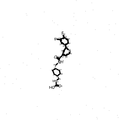 O=C(O)NC[C@H]1CC[C@H](CNC(=O)c2ccnc(-c3ccc(F)c(F)c3)c2)CC1